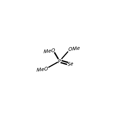 COP(=[Se])(OC)OC